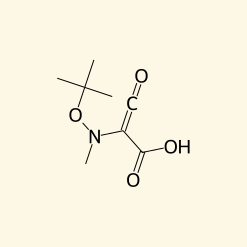 CN(OC(C)(C)C)C(=C=O)C(=O)O